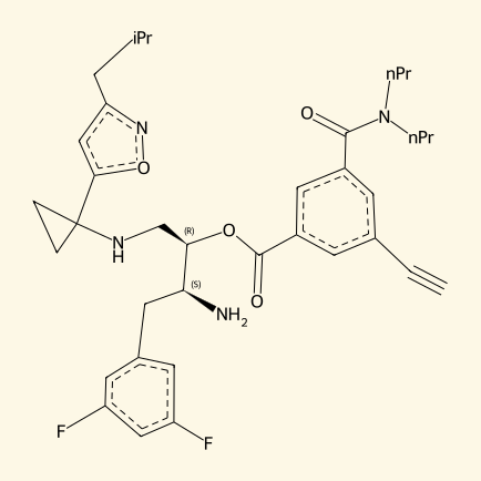 C#Cc1cc(C(=O)O[C@H](CNC2(c3cc(CC(C)C)no3)CC2)[C@@H](N)Cc2cc(F)cc(F)c2)cc(C(=O)N(CCC)CCC)c1